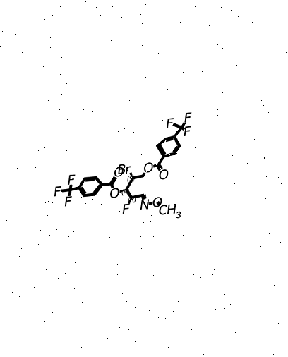 CON=C[C@@H](F)[C@@H](OC(=O)c1ccc(C(F)(F)F)cc1)[C@@H](Br)COC(=O)c1ccc(C(F)(F)F)cc1